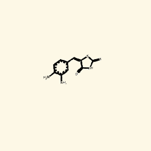 Nc1ccc(C=C2SC(=S)NC2=O)cc1N